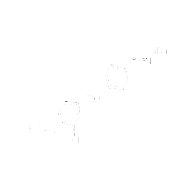 CCC(C)N=Cc1ccc(OCc2ccc(OC(F)(F)F)c(Cl)c2)cc1